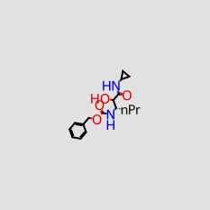 CCC[C@H](NC(=O)OCc1ccccc1)C(O)C(=O)NC1CC1